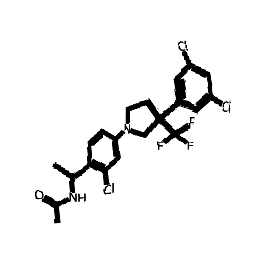 CC(=O)NC(C)c1ccc(N2CCC(c3cc(Cl)cc(Cl)c3)(C(F)(F)F)C2)cc1Cl